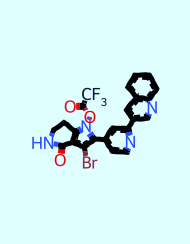 O=C1NCCc2c1c(Br)c(-c1ccnc(-c3cnc4ccccc4c3)c1)n2OC(=O)C(F)(F)F